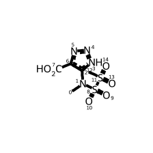 CN(c1[nH]nnc1C(=O)O)S(=O)(=O)S(C)(=O)=O